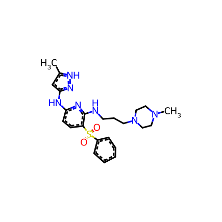 Cc1cc(Nc2ccc(S(=O)(=O)c3ccccc3)c(NCCCN3CCN(C)CC3)n2)n[nH]1